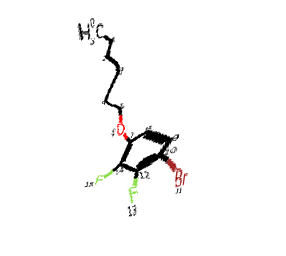 CCCCCCOc1ccc(Br)c(F)c1F